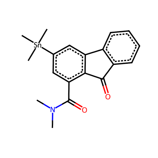 CN(C)C(=O)c1c[c]([Sn]([CH3])([CH3])[CH3])cc2c1C(=O)c1ccccc1-2